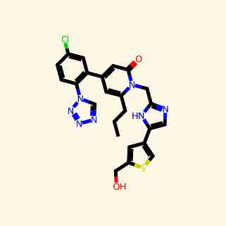 CCCc1cc(-c2cc(Cl)ccc2-n2cnnn2)cc(=O)n1Cc1ncc(-c2csc(CO)c2)[nH]1